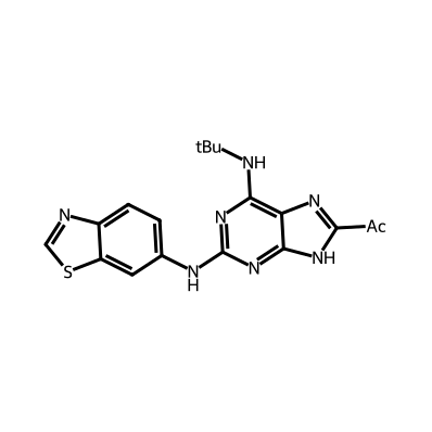 CC(=O)c1nc2c(NC(C)(C)C)nc(Nc3ccc4ncsc4c3)nc2[nH]1